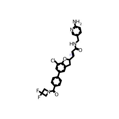 Nc1ccc(CNC(=O)/C=C/C2Cc3cc(-c4ccc(C(=O)N5CC(F)(F)C5)cc4)cc(Cl)c3O2)cn1